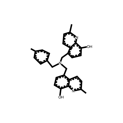 Cc1ccc(CN(Cc2ccc(O)c3nc(C)ccc23)Cc2ccc(O)c3nc(C)ccc23)cc1